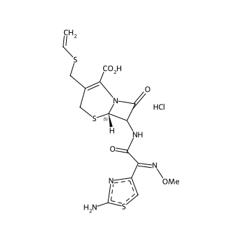 C=CSCC1=C(C(=O)O)N2C(=O)C(NC(=O)C(=NOC)c3csc(N)n3)[C@@H]2SC1.Cl